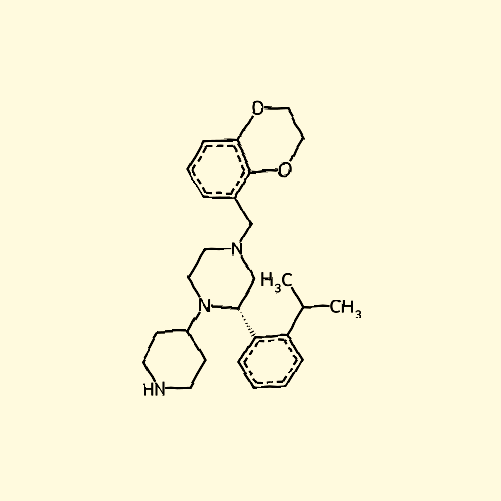 CC(C)c1ccccc1[C@H]1CN(Cc2cccc3c2OCCO3)CCN1C1CCNCC1